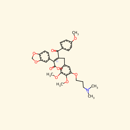 COc1ccc(C(=O)/C(Cc2cc(OC)c(OC)c(OCCCN(C)C)c2)=C(/C(=O)O)c2ccc3c(c2)OCO3)cc1